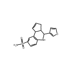 NS(=O)(=O)c1ccc2c(c1)C1C=CCC1C(c1ccoc1)N2